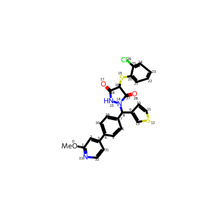 COc1cc(-c2ccc(C(c3ccsc3)N3NC(=O)C(Sc4ccccc4Cl)C3=O)cc2)ccn1